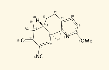 [C-]#[N+]C1=C[C@]2(C)c3nc(OC)ccc3CC[C@H]2C(C)(C)C1=O